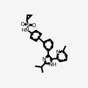 Cc1cccc(-c2[nH]c(C(C)C)nc2-c2cccc(-c3ccc(NS(=O)(=O)C4CC4)cc3)c2)n1